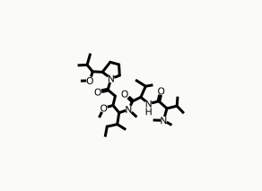 CCC(C)C(C(CC(=O)N1CCCC1C(OC)C(C)C)OC)N(C)C(=O)C(NC(=O)C(C(C)C)N(C)C)C(C)C